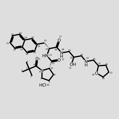 CC(C)(C)C(=O)N1CCC[C@H]1C(=O)N[C@H](Cc1ccc2ccccc2c1)C(=O)NCC(O)CNCC1CCCO1.Cl